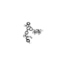 NC(Cc1ccc(Cl)cc1)C(=O)N1CCN(C(CN2C(=O)c3ccccc3C2=O)C2CCCCC2)CC1.O=C(O)C(F)(F)F.O=C(O)C(F)(F)F